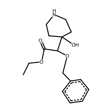 CCOC(=O)C(OCc1ccccc1)C1(O)CCNCC1